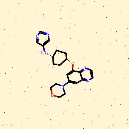 c1ncc(N[C@H]2CC[C@@H](Oc3cc(N4CCOCC4)cc4nccnc34)CC2)cn1